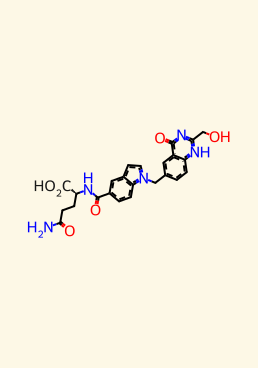 NC(=O)CC[C@H](NC(=O)c1ccc2c(ccn2Cc2ccc3[nH]c(CO)nc(=O)c3c2)c1)C(=O)O